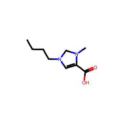 CCCCN1C=C(C(=O)O)N(C)C1